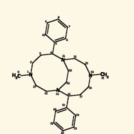 CN1CCC(c2ccccc2)N2CCN(C)CCC(c3ccccc3)N(CC1)CC2